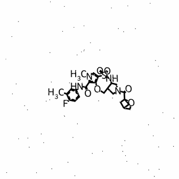 Cc1cc(NC(=O)c2c3c(cn2C)S(=O)(=O)NC2CN(C(=O)C45CC(CO4)C5)CC2CO3)ccc1F